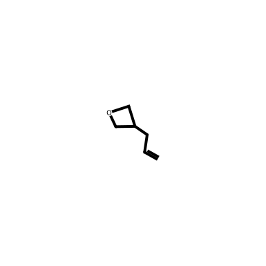 C=CCC1COC1